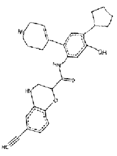 C#Cc1ccc2c(c1)NCC(C(=O)Nc1cc(O)c(C3CCCC3)cc1C1=CCNCC1)O2